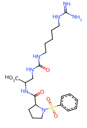 N=C(N)NCCCCCNC(=O)NCC(NC(=O)C1CCCN1S(=O)(=O)c1ccccc1)C(=O)O